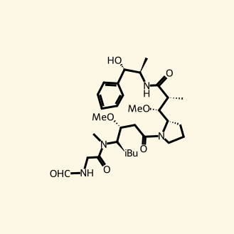 CC[C@H](C)C([C@@H](CC(=O)N1CCC[C@H]1[C@H](OC)[C@@H](C)C(=O)N[C@H](C)[C@@H](O)c1ccccc1)OC)N(C)C(=O)CNC=O